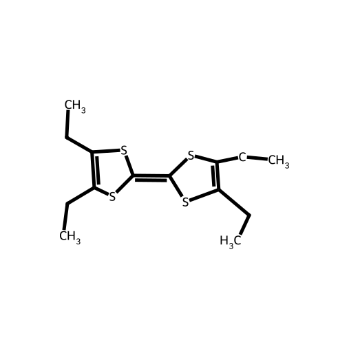 CCC1=C(CC)SC(=C2SC(CC)=C(CC)S2)S1